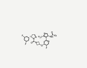 CCC(=O)Nc1cnn(C)c1-c1cc(OC2CN(C(=O)N3N=CC[C@H]3c3cc(F)cc(F)c3)C2)c(F)cn1